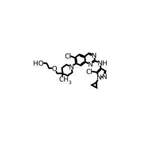 CC1(COCCO)CCN(c2cc3nc(Nc4cnn(C5CC5)c4Cl)ncc3cc2Cl)CC1